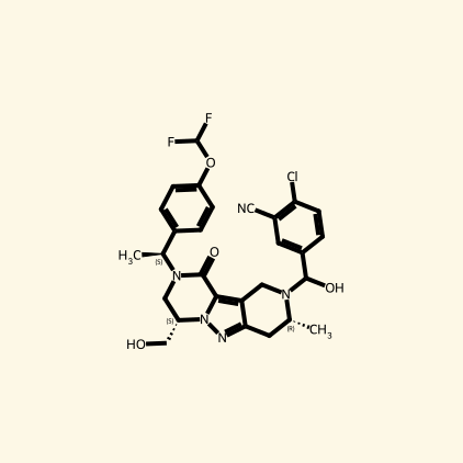 C[C@@H]1Cc2nn3c(c2CN1C(O)c1ccc(Cl)c(C#N)c1)C(=O)N([C@@H](C)c1ccc(OC(F)F)cc1)C[C@H]3CO